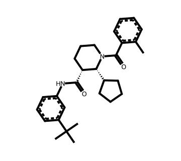 Cc1ccccc1C(=O)N1CCC[C@@H](C(=O)Nc2cccc(C(C)(C)C)c2)[C@H]1C1CCCC1